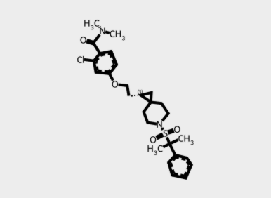 CN(C)C(=O)c1ccc(OCC[C@@H]2CC23CCN(S(=O)(=O)C(C)(C)c2ccccc2)CC3)cc1Cl